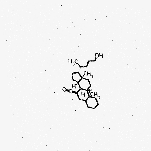 CC(CCCO)[C@H]1CC[C@H]2[C@@H]3C(=C=O)CC4CCCC[C@]4(C)[C@H]3CC[C@]12C